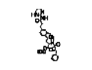 CC(C)(C)OC(=O)C(Cc1occ2cc(CCC(=O)NC3=NCCCN3)ccc12)NC(=O)OCc1ccccc1